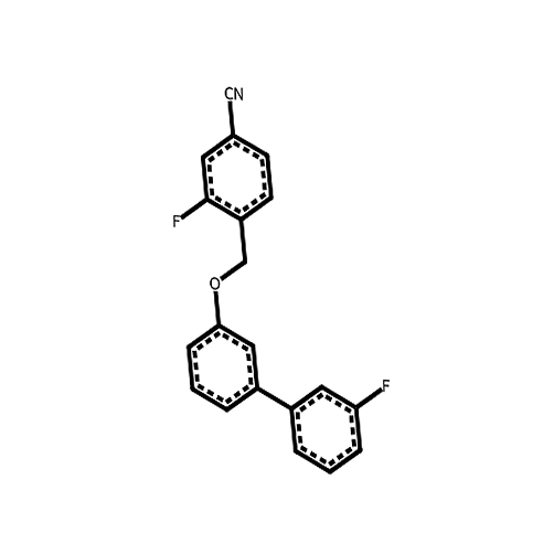 N#Cc1ccc(COc2cccc(-c3cccc(F)c3)c2)c(F)c1